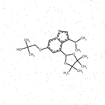 CP(C)c1cnn2cc(OCC(C)(C)O)cc(B3OC(C)(C)C(C)(C)O3)c12